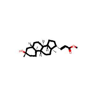 COC(=O)/C=C/[C@H]1CC[C@H]2[C@@H]3CC[C@H]4C[C@@](C)(O)CC[C@]4(C)[C@H]3CC[C@]12C